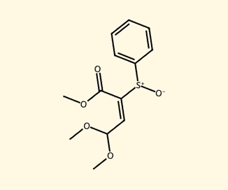 COC(=O)/C(=C\C(OC)OC)[S+]([O-])c1ccccc1